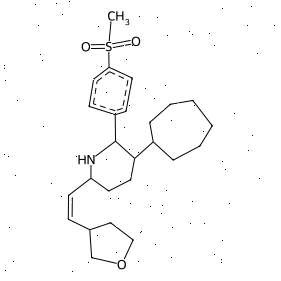 CS(=O)(=O)c1ccc(C2NC(/C=C\C3CCOC3)CCC2C2CCCCCC2)cc1